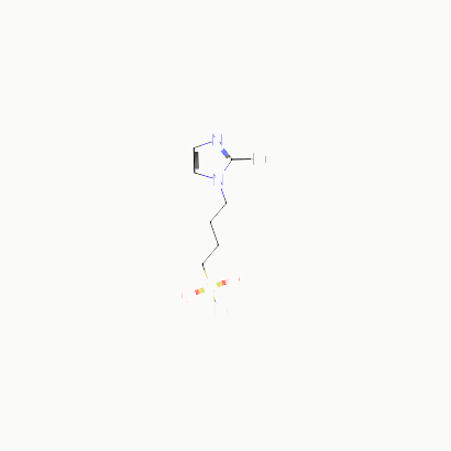 CCc1nccn1CCCCS(=O)(=O)CC